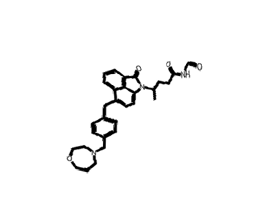 CC(CCC(=O)NC=O)N1C(=O)c2cccc3c(Cc4ccc(CN5CCCOCC5)cc4)ccc1c23